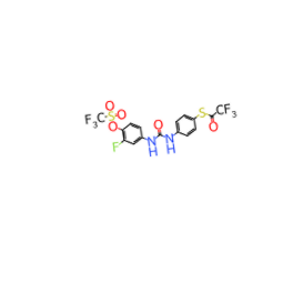 O=C(Nc1ccc(SC(=O)C(F)(F)F)cc1)Nc1ccc(OS(=O)(=O)C(F)(F)F)c(F)c1